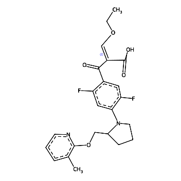 CCO/C=C(\C(=O)O)C(=O)c1cc(F)c(N2CCCC2COc2ncccc2C)cc1F